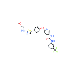 COCCNc1ncc(-c2ccc(Oc3ccc(NC(=O)Nc4cccc(C(F)(F)F)c4)cn3)cc2)s1